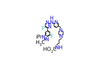 Cc1nc2c(F)cc(-c3nc(Nc4ccc(CN5CCN(CCCCNC(=O)O)CC5)cn4)ncc3F)cc2n1C(C)C